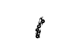 Cc1ncccc1Oc1ncnc2c1ccn2C1CCN(C(=O)Oc2cccc(C(C)(F)F)c2)CC1